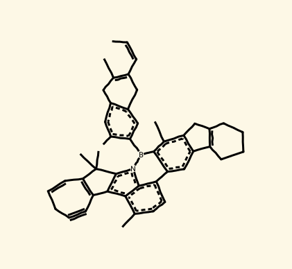 C/C=C\C1=C(C)Cc2cc(C)c(B3c4c(cc5c(c4C)CC4=C5CCCC4)-c4ccc(C)c5c6c(n3c45)C(C)(C)C3=C6C#CCC=C3)cc2C1